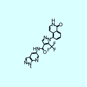 Cn1ncc2cc(NC(=O)c3cnn(-c4cccc5c(=O)[nH]ccc45)c3C(F)(F)F)cnc21